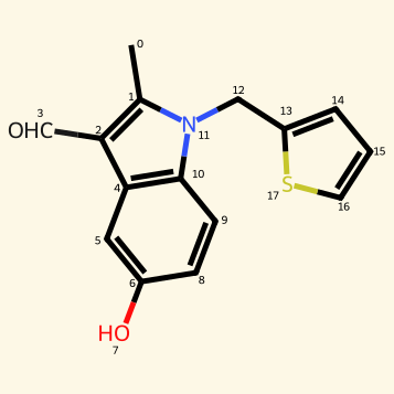 Cc1c(C=O)c2cc(O)ccc2n1Cc1cccs1